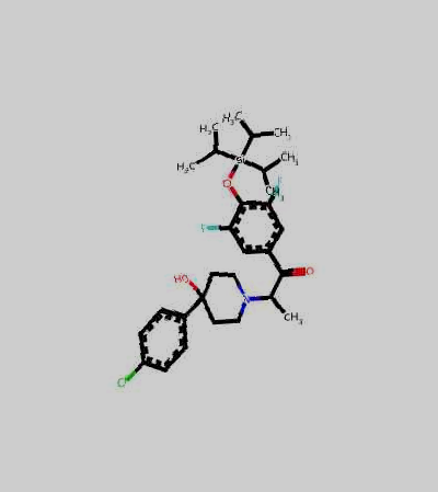 CC(C(=O)c1cc(F)c(O[Si](C(C)C)(C(C)C)C(C)C)c(F)c1)N1CCC(O)(c2ccc(Cl)cc2)CC1